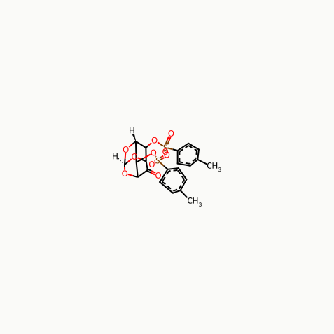 Cc1ccc(S(=O)(=O)OC2C3O[C@H]4OC(C3=O)C(OS(=O)(=O)c3ccc(C)cc3)[C@@H]2O4)cc1